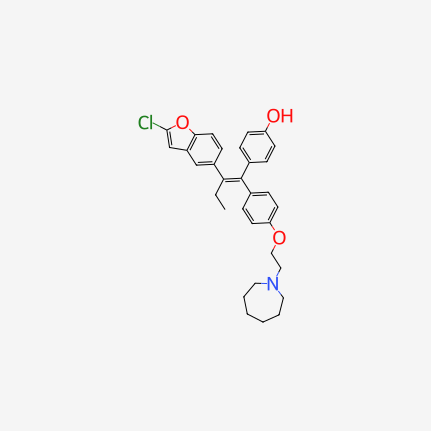 CC/C(=C(/c1ccc(O)cc1)c1ccc(OCCN2CCCCCC2)cc1)c1ccc2oc(Cl)cc2c1